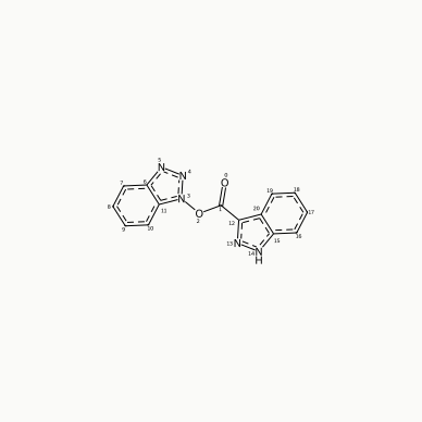 O=C(On1nnc2ccccc21)c1n[nH]c2ccccc12